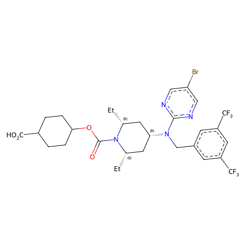 CC[C@@H]1C[C@H](N(Cc2cc(C(F)(F)F)cc(C(F)(F)F)c2)c2ncc(Br)cn2)C[C@H](CC)N1C(=O)OC1CCC(C(=O)O)CC1